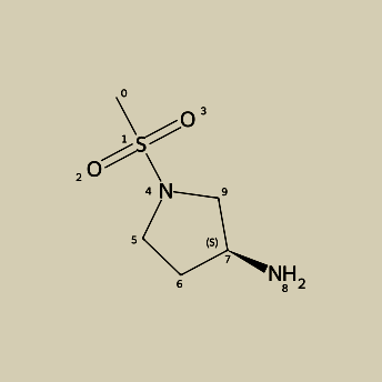 CS(=O)(=O)N1CC[C@H](N)C1